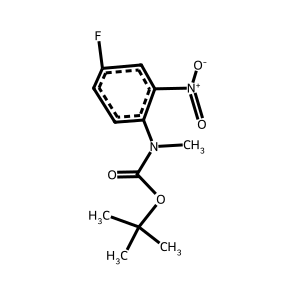 CN(C(=O)OC(C)(C)C)c1ccc(F)cc1[N+](=O)[O-]